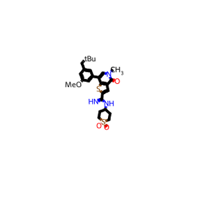 COc1cc(CC(C)(C)C)cc(-c2cn(C)c(=O)c3cc(C(=N)NC4CCS(=O)(=O)CC4)sc23)c1